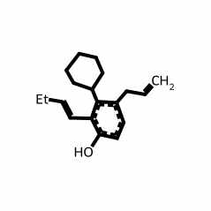 C=CCc1ccc(O)c(C=CCC)c1C1CCCCC1